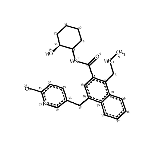 CNCc1c(C(=O)NC2CCCC[C@@H]2O)cc(Cc2ccc(Cl)nc2)c2ccccc12